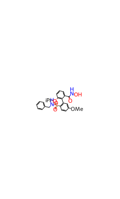 COc1ccc(S(=O)(=O)NCc2ccccc2)c(-c2c(OC(C)C)cccc2C(=O)NO)c1